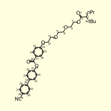 CCCC(C(=O)OCCOCCOCCOc1ccc(C(=O)Oc2ccc(-c3ccc(C#N)cc3)cc2)cc1)C(C)(C)C